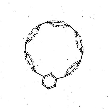 c1cc2nc(c1)-c1ccc(cc1)-c1ccc(cc1)-c1ccc(cc1)-c1ccc(cc1)-c1ccc-2cc1